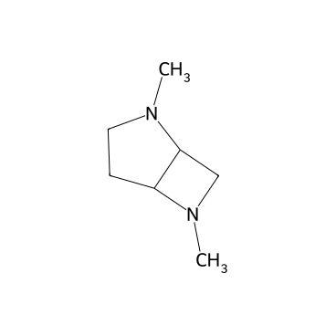 CN1CCC2C1CN2C